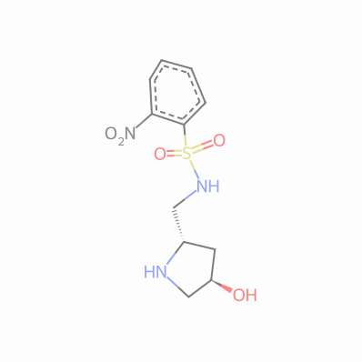 O=[N+]([O-])c1ccccc1S(=O)(=O)NC[C@@H]1C[C@@H](O)CN1